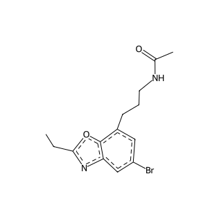 CCc1nc2cc(Br)cc(CCCNC(C)=O)c2o1